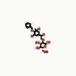 CC1(Cl)CC(C(=O)CO[C@@H]2[C@@H](O)[C@H](O)[C@@H](CO)O[C@@H]2O)=CC(Cl)=C1OCc1ccccc1